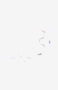 NC(=O)c1cnc2cc(OC3CC4(CC(N)C4)C3)sc2c1